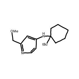 COCc1cc(NC2(C(C)(C)C)CCCCC2)ccn1